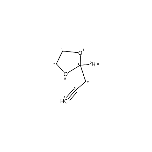 [2H]C1(CC#C)OCCO1